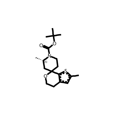 Cc1cc2c(s1)C1(CCN(C(=O)OC(C)(C)C)[C@@H](C)C1)OCC2